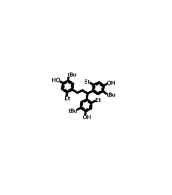 CCc1cc(O)c(C(C)(C)C)cc1CCC(c1cc(C(C)(C)C)c(O)cc1CC)c1cc(C(C)(C)C)c(O)cc1CC